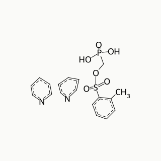 Cc1ccccc1S(=O)(=O)OCP(=O)(O)O.c1ccncc1.c1ccncc1